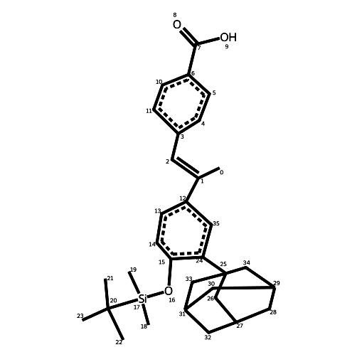 CC(=Cc1ccc(C(=O)O)cc1)c1ccc(O[Si](C)(C)C(C)(C)C)c(C23CC4CC(CC(C4)C2)C3)c1